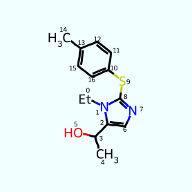 CCn1c(C(C)O)cnc1Sc1ccc(C)cc1